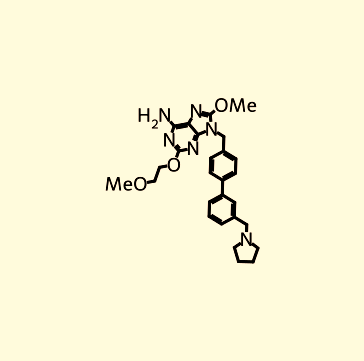 COCCOc1nc(N)c2nc(OC)n(Cc3ccc(-c4cccc(CN5CCCC5)c4)cc3)c2n1